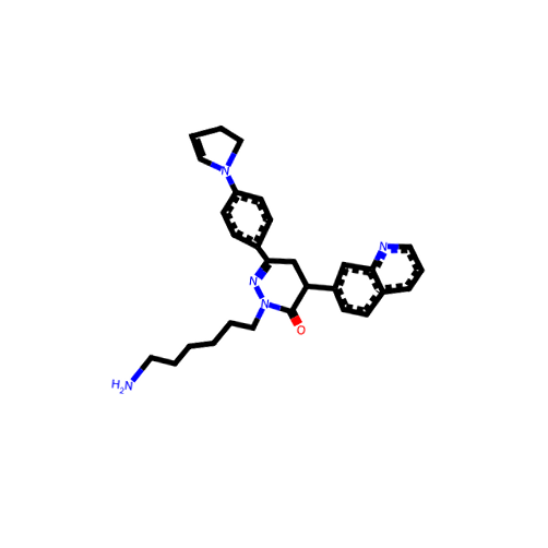 NCCCCCCN1N=C(c2ccc(N3C=CCC3)cc2)CC(c2ccc3cccnc3c2)C1=O